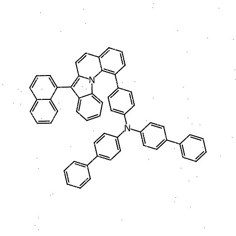 c1ccc(-c2ccc(N(c3ccc(-c4ccccc4)cc3)c3ccc(-c4cccc5ccc6c(-c7cccc8ccccc78)c7ccccc7n6c45)cc3)cc2)cc1